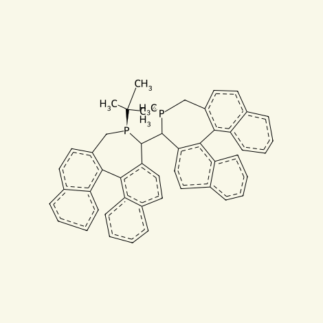 C[P@]1Cc2ccc3ccccc3c2-c2c(ccc3ccccc23)C1C1c2ccc3ccccc3c2-c2c(ccc3ccccc23)C[P@@]1C(C)(C)C